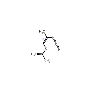 C=C(C)S/C=C(/C)N=[N+]=[N-]